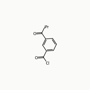 CC(C)C(=O)c1cccc(C(=O)Cl)c1